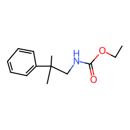 CCOC(=O)NCC(C)(C)c1ccccc1